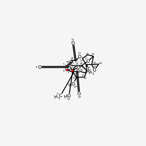 CC1CCOC(=O)C=CC=CC(=O)OC2CC3OC4C5OC5(C)C(O)CC4(COC(=O)C1O)C2(C)C31CO1